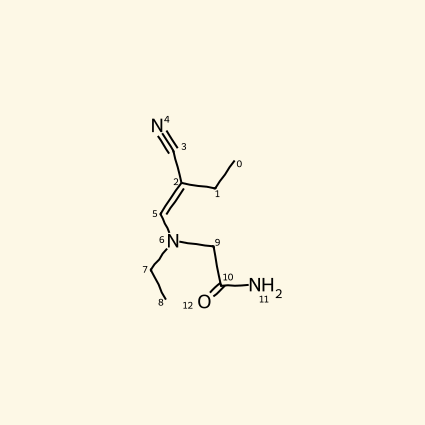 CC/C(C#N)=C\N(CC)CC(N)=O